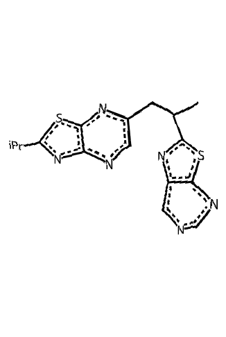 CC(C)c1nc2ncc(CC(C)c3nc4cncnc4s3)nc2s1